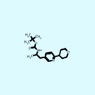 CC(Cc1ccc(C2CCOCC2)nc1)NC(=O)OC(C)(C)C